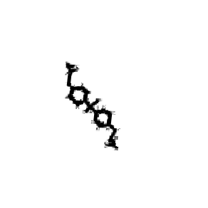 CC(C)(c1ccc(CC2CS2)cc1)c1ccc(CC2CS2)cc1